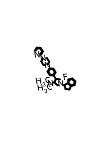 CN(C)C1CN(C2CCc3cccc(F)c32)CC1c1ccc(N2CCN(c3ccccn3)CC2)cc1